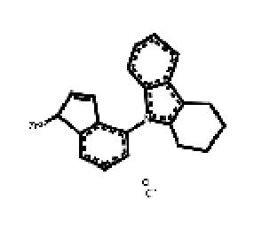 [Cl-].[Cl-].[Zr+2][CH]1C=Cc2c1cccc2-n1c2c(c3ccccc31)CCCC2